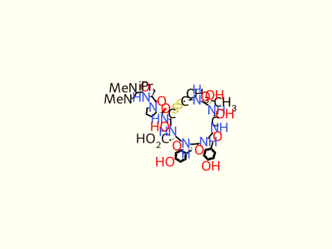 CNCC(NC)C(=O)N[C@@H](CC(C)C)C(=O)N1CCC[C@H]1C(=O)N[C@H]1CSSC[C@@H](C)NC(=O)[C@H](C(C)O)N[C@H](O)CNC(=O)[C@H](Cc2ccc(O)cc2)NC(=O)[C@H](Cc2ccc(O)cc2)NC(=O)[C@H](CC(=O)O)N[C@@H]1O